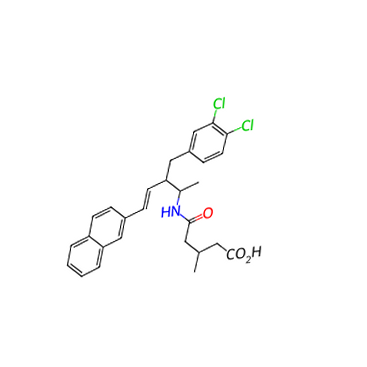 CC(CC(=O)O)CC(=O)NC(C)C(/C=C/c1ccc2ccccc2c1)Cc1ccc(Cl)c(Cl)c1